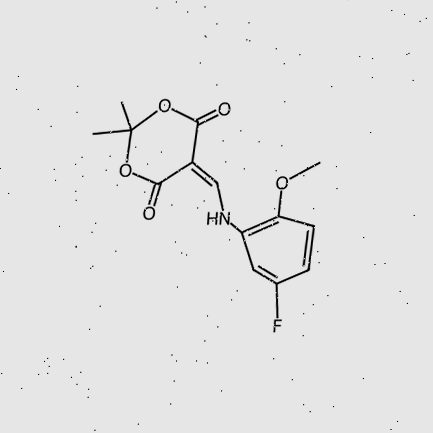 COc1ccc(F)cc1NC=C1C(=O)OC(C)(C)OC1=O